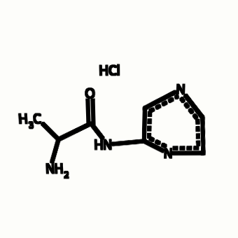 CC(N)C(=O)Nc1cnccn1.Cl